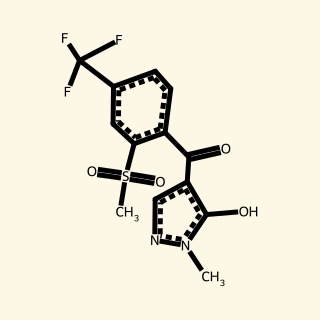 Cn1ncc(C(=O)c2ccc(C(F)(F)F)cc2S(C)(=O)=O)c1O